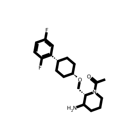 CC(=O)N1CCCC(N)[C@@H]1CO[C@H]1CC[C@@H](c2cc(F)ccc2F)CC1